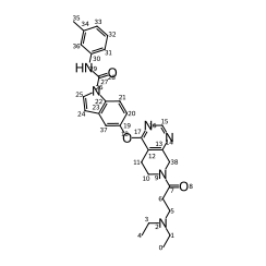 CCN(CC)CCC(=O)N1CCc2c(ncnc2Oc2ccc3c(ccn3C(=O)Nc3cccc(C)c3)c2)C1